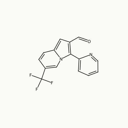 O=Cc1cc2ccc(C(F)(F)F)cn2c1-c1ccccn1